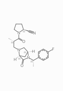 C[C@@H](CN1C[C@@H]2C[C@H]1C(=O)N2[C@@H](C)c1ccc(F)cc1)C(=O)N1CCC[C@H]1C#N